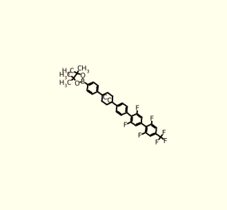 CC1(C)OB(c2ccc(C34CCC(c5ccc(-c6c(F)cc(-c7c(F)cc(C(F)(F)F)cc7F)cc6F)cc5)(CC3)CC4)cc2)OC1(C)C